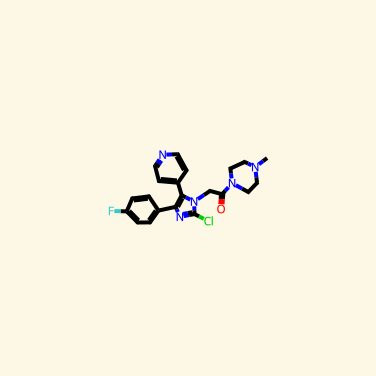 CN1CCN(C(=O)Cn2c(Cl)nc(-c3ccc(F)cc3)c2-c2ccncc2)CC1